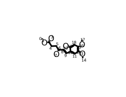 COC(=O)CCC(=O)c1cc2cc(OC)c(OC)cc2o1